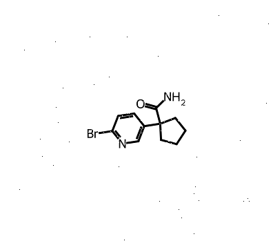 NC(=O)C1(c2ccc(Br)nc2)CCCC1